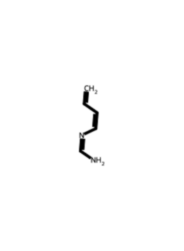 C=C/C=C\N=C/N